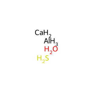 O.S.[AlH3].[CaH2]